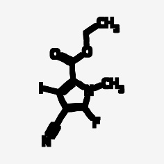 CCOC(=O)c1c(I)c(C#N)c(F)n1C